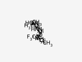 Cc1ccc(-n2nc(C(F)(F)F)cc2Oc2ccnc(Nc3ccnc(C(C)(C)O)c3)c2)cc1